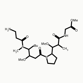 CCC(C)C(C(CC(=O)N1CCCC1C(OC)C(C)C(=O)NCC(=O)OC)OC)N(C)C(=O)CCN